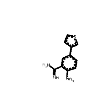 N=C(N)c1cc(-c2ccsc2)ccc1N